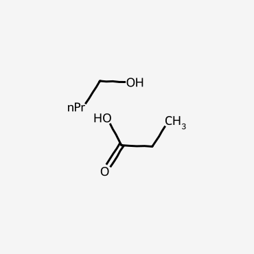 CCC(=O)O.CCCCO